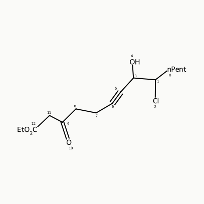 CCCCCC(Cl)C(O)C#CCCC(=O)CC(=O)OCC